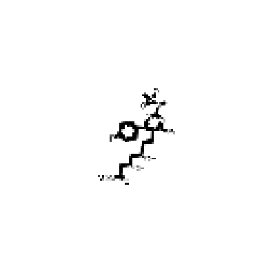 CNC(=O)C[C@H](O)C[C@H](O)/C=C/c1c(-c2ccc(F)cc2)nc(N(C)S(C)(=O)=O)nc1C(C)C